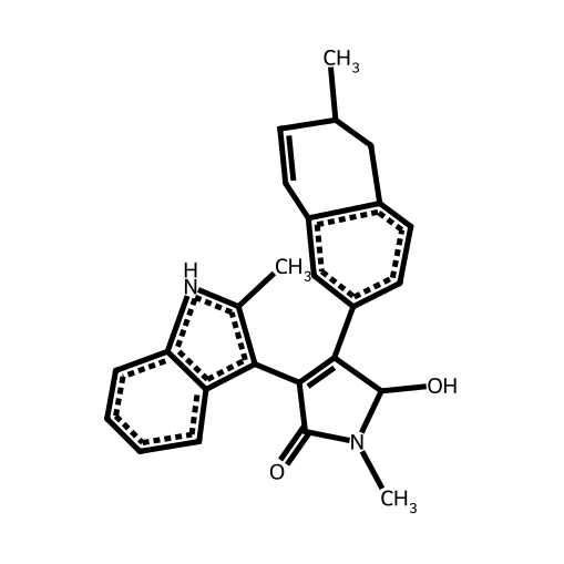 Cc1[nH]c2ccccc2c1C1=C(c2ccc3c(c2)C=CC(C)C3)C(O)N(C)C1=O